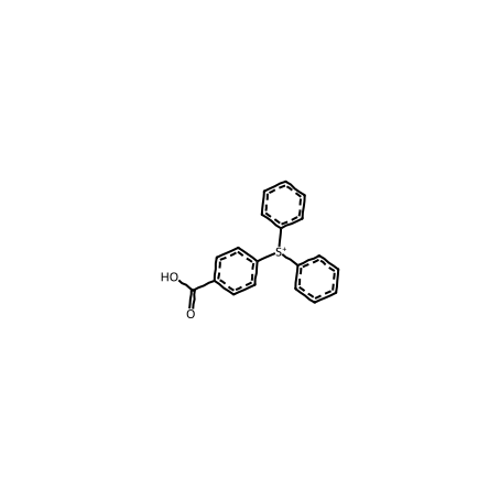 O=C(O)c1ccc([S+](c2ccccc2)c2ccccc2)cc1